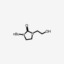 CCCCN1CCN(CCO)C1=O